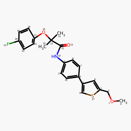 COCc1cc(-c2ccc(NC(=O)C(C)(C)Oc3ccc(F)cc3)cc2)cs1